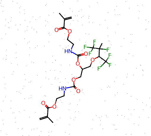 C=C(C)C(=O)OCCNC(=O)OCC(COC(C(F)(F)F)C(C)(F)C(F)(F)F)OC(=O)NCCOC(=O)C(=C)C